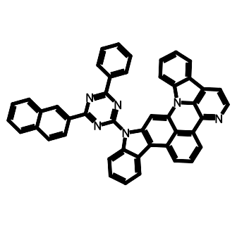 c1ccc(-c2nc(-c3ccc4ccccc4c3)nc(-n3c4ccccc4c4c5cccc6c7nccc8c9ccccc9n(c(cc43)c65)c87)n2)cc1